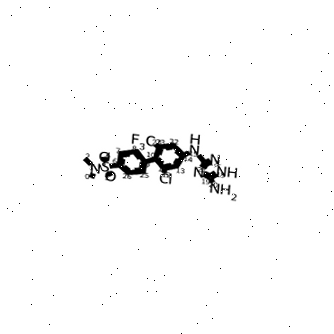 CN(C)S(=O)(=O)c1ccc(-c2c(Cl)cc(Nc3n[nH]c(N)n3)cc2C(F)(F)F)cc1